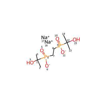 CC(C)(O)P(=O)([O-])CCP(=O)([O-])C(C)(C)O.[Na+].[Na+]